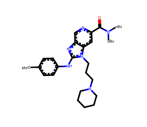 CCCCN(CCCC)C(=O)c1cc2c(cn1)nc(Nc1ccc(OC)cc1)n2CCCN1CCCCC1